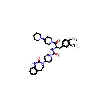 Cc1ccc(CC(NC(=O)N2CCC(N3CCc4ccccc4NC3=O)CC2)C(=O)N2CCC(N3CCCCC3)CC2)cc1C